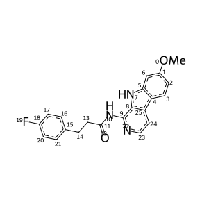 COc1ccc2c(c1)[nH]c1c(NC(=O)CCc3ccc(F)cc3)nccc12